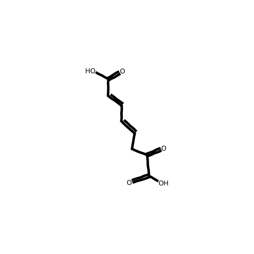 O=C(O)C=CC=CCC(=O)C(=O)O